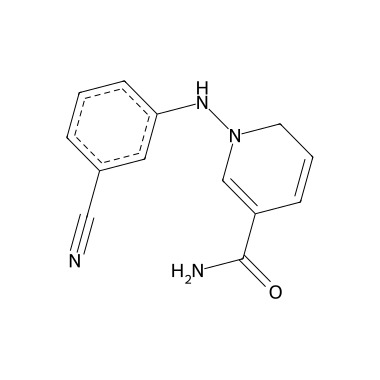 N#Cc1cccc(NN2C=C(C(N)=O)C=CC2)c1